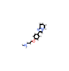 CN(C)CCCOc1ccc(-c2cn3ccccc3n2)cc1